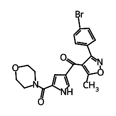 Cc1onc(-c2ccc(Br)cc2)c1C(=O)c1c[nH]c(C(=O)N2CCOCC2)c1